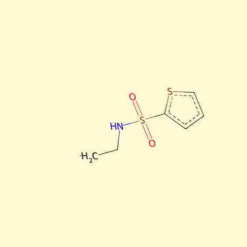 [CH2]CNS(=O)(=O)c1cccs1